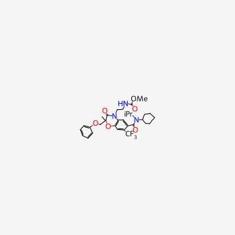 COC(=O)NCCN1C(=O)C(C)(COc2ccccc2)Oc2cc(C(F)(F)F)c(C(=O)N(C(C)C)C3CCCCC3)cc21